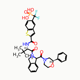 CC(C)(C)[C@H](NC(=O)c1cc2cc(C(F)(F)P(=O)(O)O)ccc2s1)C(=O)N1Cc2ccccc2C1C(=O)N1CCO[C@H](c2ccccc2)C1